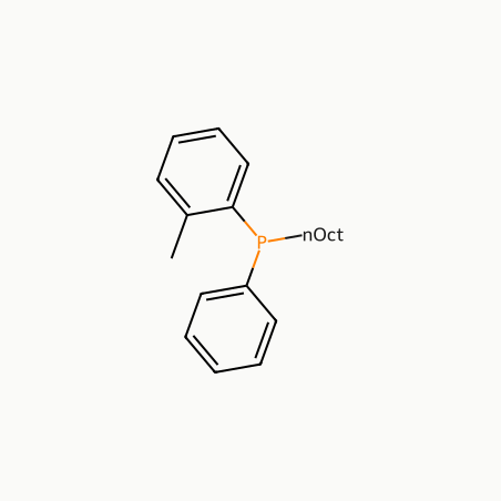 CCCCCCCCP(c1ccccc1)c1ccccc1C